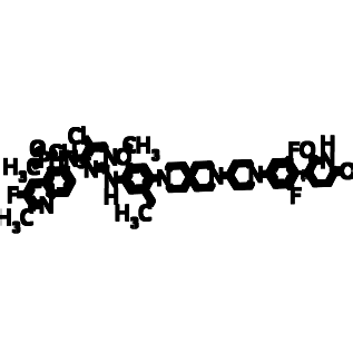 CCc1cc(Nc2ncc(Cl)c(Nc3ccc4nc(C)c(F)cc4c3P(C)(C)=O)n2)c(OC)cc1N1CCC2(CC1)CCN(C1CCN(c3cc(F)c([C@H]4CCC(=O)NC4=O)c(F)c3)CC1)CC2